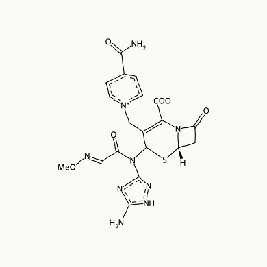 CON=CC(=O)N(c1n[nH]c(N)n1)C1S[C@H]2CC(=O)N2C(C(=O)[O-])=C1C[n+]1ccc(C(N)=O)cc1